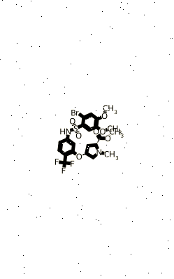 COC(=O)[C@H]1C[C@@H](Oc2cc(NS(=O)(=O)c3cc(OC)c(OC)cc3Br)ccc2C(F)(F)F)CN1C